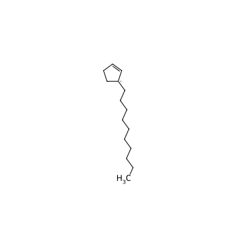 CCCCCCCCCC[C]1C=CCC1